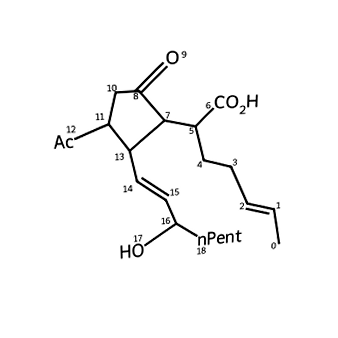 C/C=C/CCC(C(=O)O)C1C(=O)CC(C(C)=O)C1/C=C/C(O)CCCCC